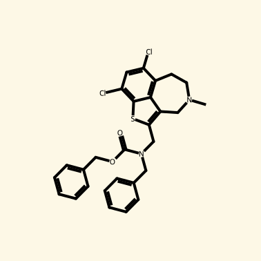 CN1CCc2c(Cl)cc(Cl)c3sc(CN(Cc4ccccc4)C(=O)OCc4ccccc4)c(c23)C1